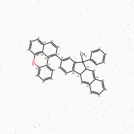 CC1(c2ccccc2)c2cc(-c3ccc4cccc5c4c3-c3ccccc3O5)ccc2C2C=c3ccccc3=CC21